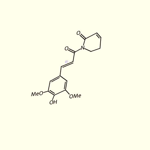 COc1cc(/C=C/C(=O)N2CCC=CC2=O)cc(OC)c1O